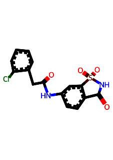 O=C(Cc1ccccc1Cl)Nc1ccc2c(c1)S(=O)(=O)NC2=O